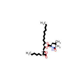 CCCCCCCCCCC[C@H](C[C@H]1OC(=O)[C@@H]1CCCCCC)OC(=O)[C@@H](CC(C)C)NC=O